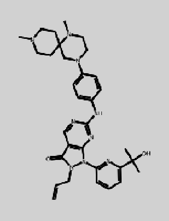 C=CCn1c(=O)c2cnc(Nc3ccc(N4CCN(C)C5(CCN(C)CC5)C4)cc3)nc2n1-c1cccc(C(C)(C)O)n1